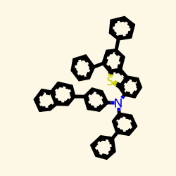 c1ccc(-c2cccc(N(c3ccc(-c4ccc5ccccc5c4)cc3)c3cccc4c3sc3c(-c5ccccc5)cc(-c5ccccc5)cc34)c2)cc1